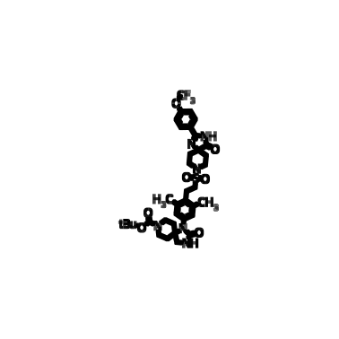 Cc1cc(N2C(=O)NCC23CCN(C(=O)OC(C)(C)C)CC3)cc(C)c1CCS(=O)(=O)N1CCC2(CC1)N=C(c1ccc(OC(F)(F)F)cc1)NC2=O